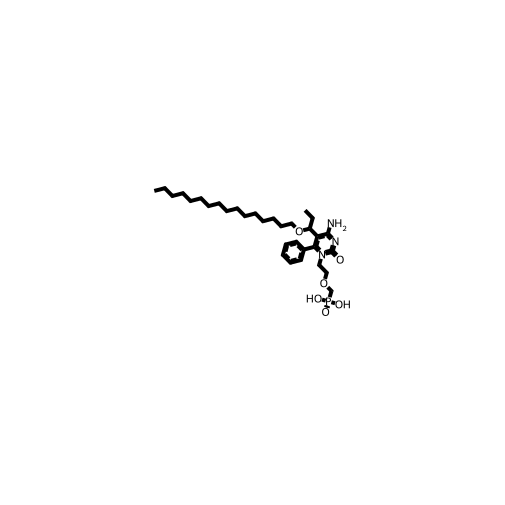 CCCCCCCCCCCCCCCCOC(CC)c1c(N)nc(=O)n(CCOCP(=O)(O)O)c1-c1ccccc1